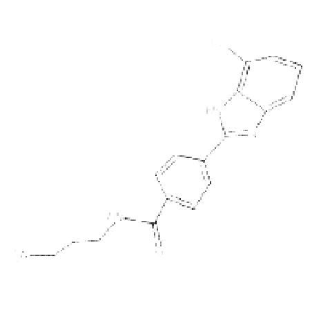 NCCCNC(=O)c1ccc(-c2nc3cccc(O)c3[nH]2)cc1